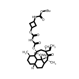 C=C[C@]1(C)C[C@@H](OC(=O)NC(=O)OC2CC(NC(=O)OC(C)(C)C)C2)[C@@]2(C)C3[C@H](CCC([C@H]3OC)[C@@H](C)C1=O)CC[C@H]2C